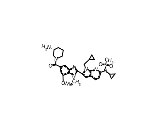 COc1cc(C(=O)N2CCC[C@@H](N)C2)cc2nc(-c3cc4ccc(N(C5CC5)S(C)(=O)=O)nc4n3CC3CC3)n(C)c12